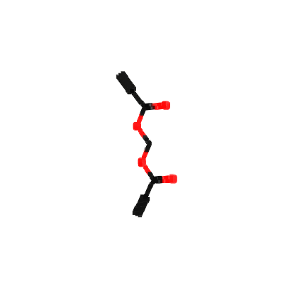 C#CC(=O)OCOC(=O)C#C